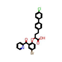 O=C(c1ccccn1)c1cc(Br)ccc1OC(CCc1ccc(-c2ccc(Cl)cc2)cc1)C(=O)O